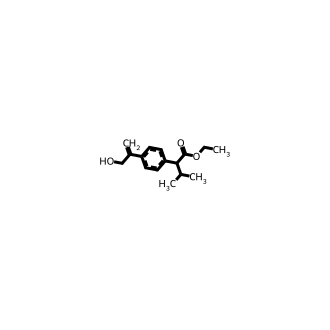 C=C(CO)c1ccc(C(C(=O)OCC)C(C)C)cc1